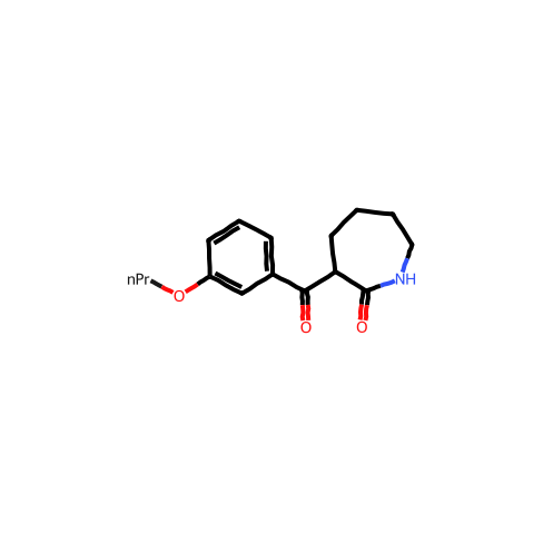 CCCOc1cccc(C(=O)C2CCCCNC2=O)c1